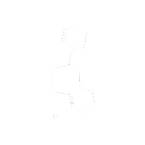 Oc1cccc2c1CCCC(c1ccccc1)=C2